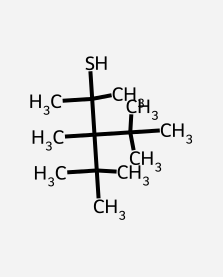 CC(C)(C)C(C)(C(C)(C)C)C(C)(C)S